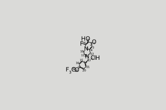 Cl.O=c1cc2n(c(F)c1O)CCN(Cc1ccc(OC(F)(F)F)cc1)C2